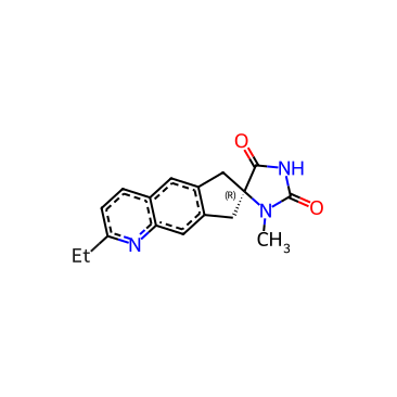 CCc1ccc2cc3c(cc2n1)C[C@]1(C3)C(=O)NC(=O)N1C